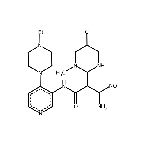 CCN1CCN(c2ccncc2NC(=O)C(C(N)N=O)C2NCC(Cl)CN2C)CC1